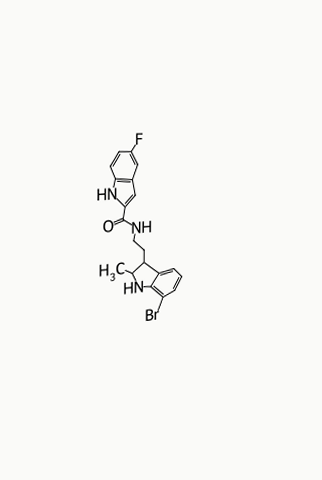 CC1Nc2c(Br)cccc2C1CCNC(=O)c1cc2cc(F)ccc2[nH]1